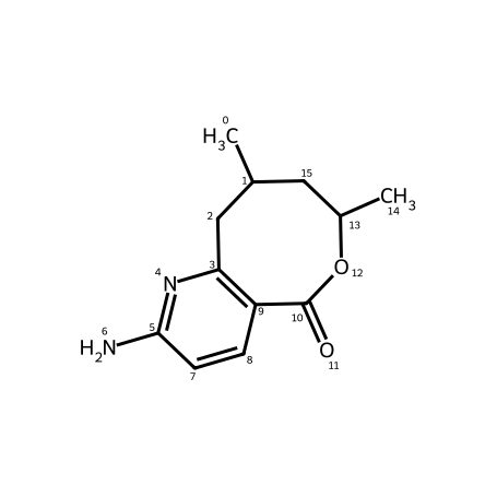 CC1Cc2nc(N)ccc2C(=O)OC(C)C1